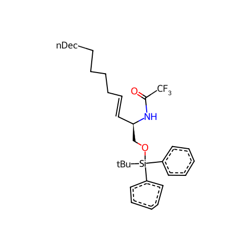 CCCCCCCCCCCCCC/C=C/[C@H](CO[Si](c1ccccc1)(c1ccccc1)C(C)(C)C)NC(=O)C(F)(F)F